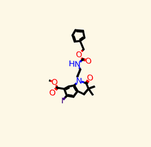 COC(=O)c1cc2c(cc1I)CC(C)(C)C(=O)N2CCNC(=O)OCc1ccccc1